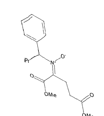 COC(=O)CCC(C(=O)OC)=[N+]([O-])C(c1ccccc1)C(C)C